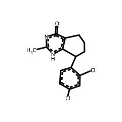 Cc1nc(=O)c2c([nH]1)C(c1ccc(Cl)cc1Cl)CCC2